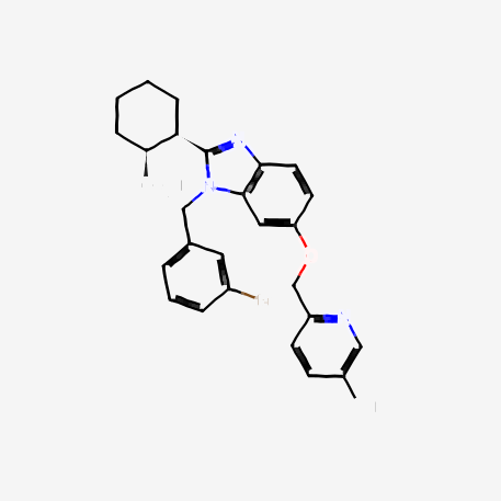 Cc1ccc(COc2ccc3nc([C@@H]4CCCC[C@@H]4C(=O)O)n(Cc4cccc(Br)c4)c3c2)nc1